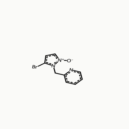 [O-][n+]1ccc(Br)n1Cc1ccccn1